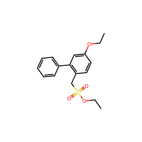 CCOc1ccc(CS(=O)(=O)OCC)c(-c2ccccc2)c1